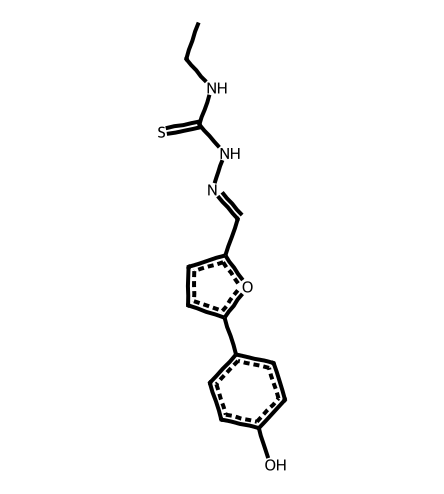 CCNC(=S)N/N=C/c1ccc(-c2ccc(O)cc2)o1